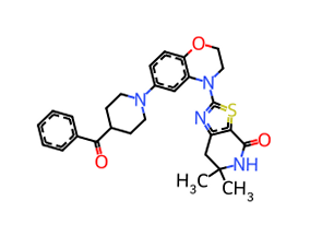 CC1(C)Cc2nc(N3CCOc4ccc(N5CCC(C(=O)c6ccccc6)CC5)cc43)sc2C(=O)N1